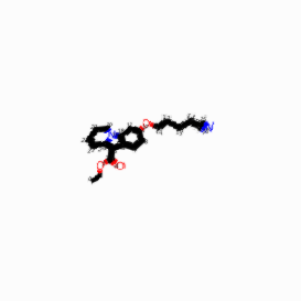 CCOC(=O)c1c2ccc(OCCCCC#N)cc2n2ccccc12